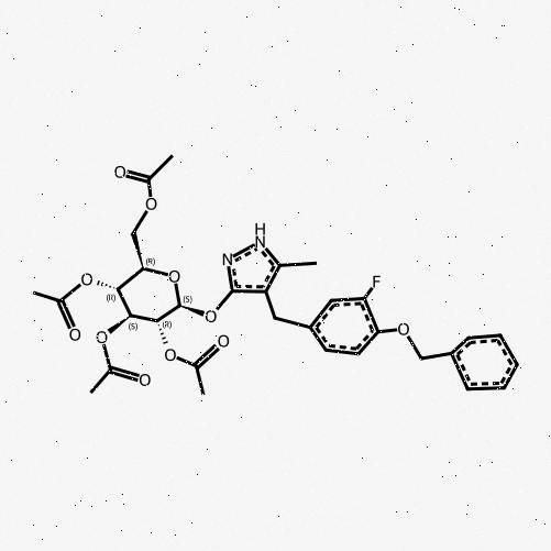 CC(=O)OC[C@H]1O[C@@H](Oc2n[nH]c(C)c2Cc2ccc(OCc3ccccc3)c(F)c2)[C@H](OC(C)=O)[C@@H](OC(C)=O)[C@@H]1OC(C)=O